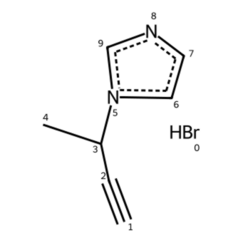 Br.C#CC(C)n1ccnc1